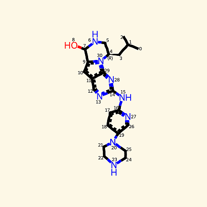 CC(C)C[C@@H]1CNC(O)c2cc3cnc(Nc4ccc(N5CCNCC5)cn4)nc3n21